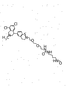 CN1Cc2c(Cl)cc(Cl)cc2C(c2ccc3c(c2)CCN(CCOCCOCCNC(=O)NCCCCNC=O)S3)C1